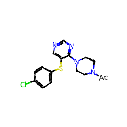 CC(=O)N1CCN(c2ncncc2Sc2ccc(Cl)cc2)CC1